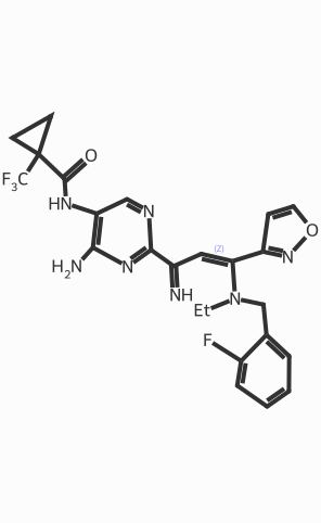 CCN(Cc1ccccc1F)/C(=C\C(=N)c1ncc(NC(=O)C2(C(F)(F)F)CC2)c(N)n1)c1ccon1